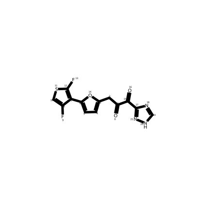 O=C(Cc1ccc(-c2c(F)csc2F)o1)C(=O)c1nc[nH]n1